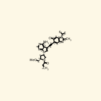 C=CC(=O)N1C[C@@H](n2cc(C#Cc3cc4nc(C)n(C(F)F)c4cc3Cl)c3c(N)ncnc32)C[C@@H]1COC